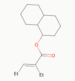 CCC=C(CC)C(=O)OC1CCCC2CCCCC21